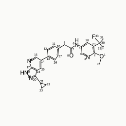 COc1ncc(NC(=O)Cc2ccc(-c3cnc4[nH]nc(C5CC5)c4c3)cc2)cc1C(C)(F)F